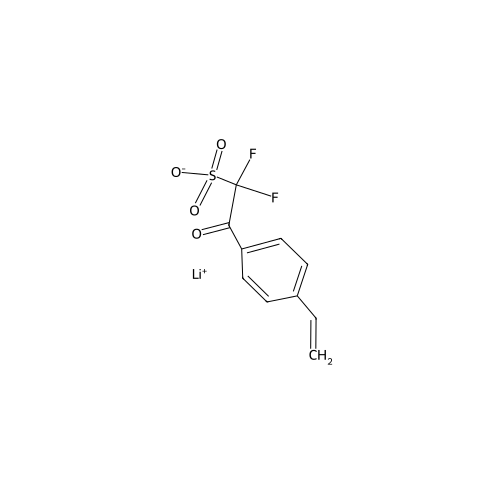 C=Cc1ccc(C(=O)C(F)(F)S(=O)(=O)[O-])cc1.[Li+]